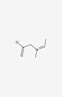 CC=[N+](C)CC(=O)[O-]